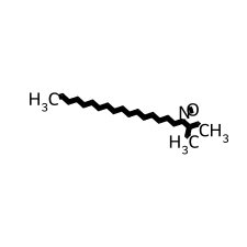 CCCCCCCCCCCCCCCCCC(N=O)C(CC)CC